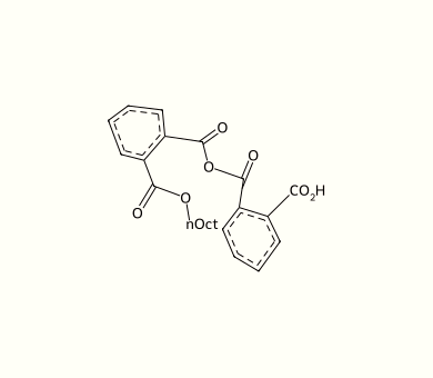 CCCCCCCCOC(=O)c1ccccc1C(=O)OC(=O)c1ccccc1C(=O)O